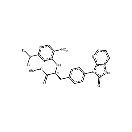 CCN(CC)c1ncc([N+](=O)[O-])c(N[C@@H](Cc2ccc(-n3c(=O)[nH]c4cccnc43)cc2)C(=O)OC(C)(C)C)n1